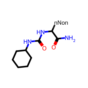 CCCCCCCCCC(NC(=O)NC1CCCCC1)C(N)=O